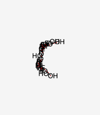 OCCCC(O)COCC(F)(F)C(F)(F)OC(F)(F)C(F)(F)C(F)(F)OC(F)(F)C(F)(F)COCC(O)COCC(F)(F)C(F)(F)OC(F)(F)C(F)(F)C(F)(F)OC(F)(F)C(F)(F)COCC(O)CCCO